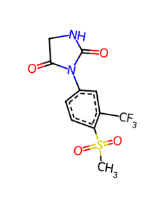 CS(=O)(=O)c1ccc(N2C(=O)CNC2=O)cc1C(F)(F)F